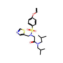 C=COc1ccc(S(=O)(=O)N(CC(=O)N(CC(C)C)CC(C)C)Cc2cncs2)cc1